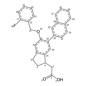 O=C(O)CC1CCc2cc(OCc3ccccc3F)c(-c3ccc4ccccc4c3)cc21